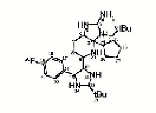 CC(C)(C)CN1C(N)NC2CCC(C3NC(C(C)(C)C)NC3c3ccc(F)cc3)NC21C1CCCC1